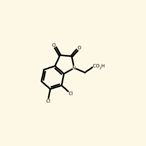 O=C(O)CN1C(=O)C(=O)c2ccc(Cl)c(Cl)c21